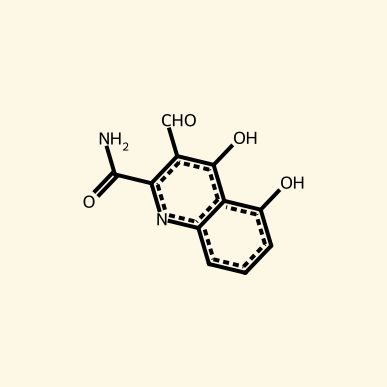 NC(=O)c1nc2cccc(O)c2c(O)c1C=O